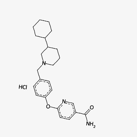 Cl.NC(=O)c1ccc(Oc2ccc(CN3CCCC(C4CCCCC4)C3)cc2)nc1